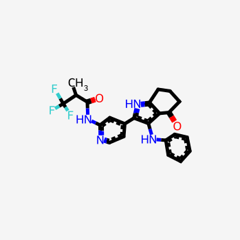 CC(C(=O)Nc1cc(-c2[nH]c3c(c2Nc2ccccc2)C(=O)CCC3)ccn1)C(F)(F)F